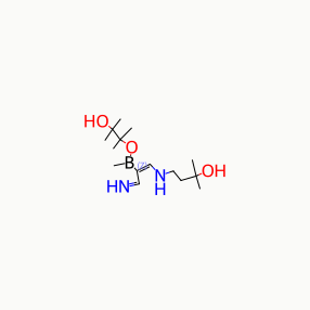 CB(OC(C)(C)C(C)(C)O)/C(C=N)=C/NCCC(C)(C)O